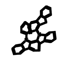 c1ccc(-n2c3ccccc3c3ccc4c5ccccc5n(-c5nccc6c5Cc5ccccc5-6)c4c32)cc1